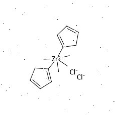 [CH3][Zr+2]([CH3])([CH3])([CH3])([C]1=CC=CC1)[C]1=CC=CC1.[Cl-].[Cl-]